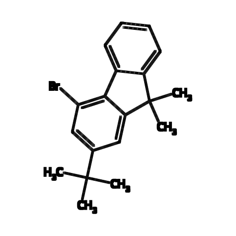 CC(C)(C)c1cc(Br)c2c(c1)C(C)(C)c1ccccc1-2